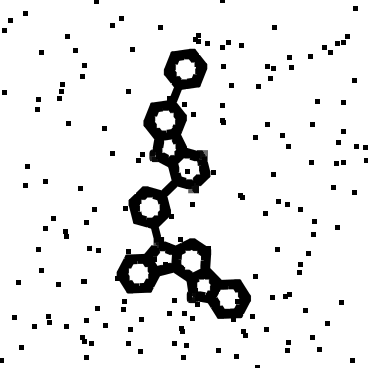 c1ccc(-c2ccc3oc4c(-c5cccc(-n6c7ccccc7c7c8oc9ccccc9c8ccc76)c5)ncnc4c3c2)cc1